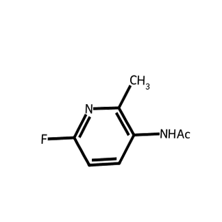 CC(=O)Nc1ccc(F)nc1C